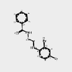 O=C(NSCNc1ncc(Br)cc1Br)c1ccccc1